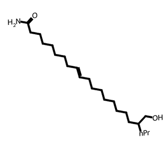 CCCC(CO)CCCCCCCC/C=C/CCCCCCCC(N)=O